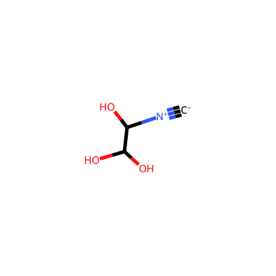 [C-]#[N+]C(O)C(O)O